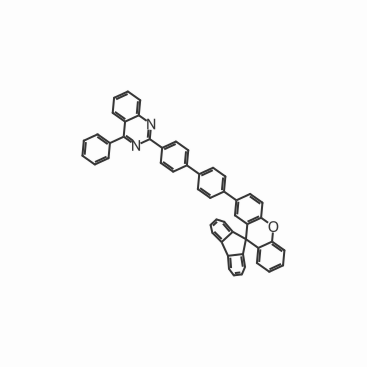 c1ccc(-c2nc(-c3ccc(-c4ccc(-c5ccc6c(c5)C5(c7ccccc7O6)c6ccccc6-c6ccccc65)cc4)cc3)nc3ccccc23)cc1